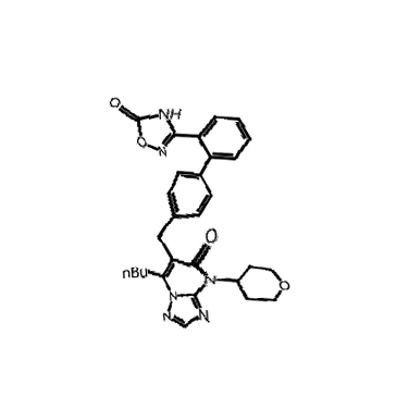 CCCCc1c(Cc2ccc(-c3ccccc3-c3noc(=O)[nH]3)cc2)c(=O)n(C2CCOCC2)c2ncnn12